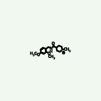 COc1ccc(CNC(=O)C2CCP(C)(=O)CC2)c(OC)c1